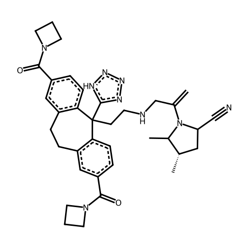 C=C(CNCCC1(c2nnn[nH]2)c2ccc(C(=O)N3CCC3)cc2CCc2cc(C(=O)N3CCC3)ccc21)N1C(C#N)C[C@H](C)C1C